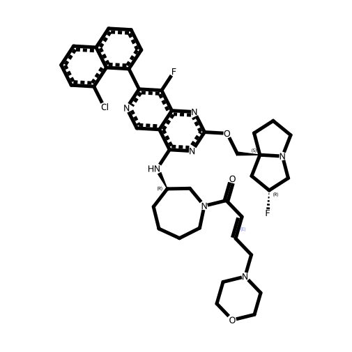 O=C(/C=C/CN1CCOCC1)N1CCCC[C@@H](Nc2nc(OC[C@@]34CCCN3C[C@H](F)C4)nc3c(F)c(-c4cccc5cccc(Cl)c45)ncc23)C1